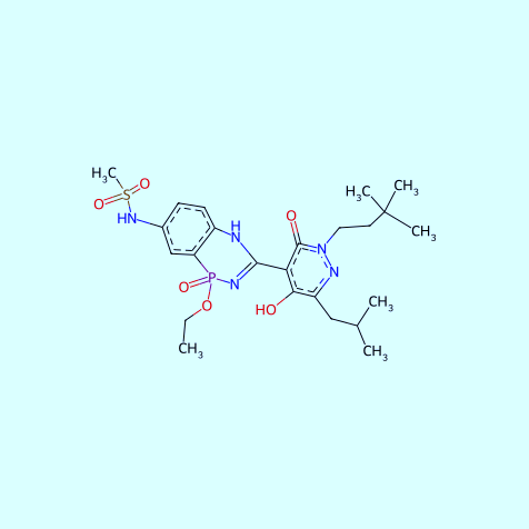 CCOP1(=O)N=C(c2c(O)c(CC(C)C)nn(CCC(C)(C)C)c2=O)Nc2ccc(NS(C)(=O)=O)cc21